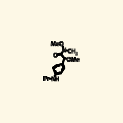 COC(C(=O)N(C)OC)c1ccc(NC(C)C)cc1